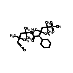 CC(C)(CC(C)(C)NC(=O)N(C1CCCCC1)C(C)(C)CC(C)(C)S(=O)(=O)O)N=C=O